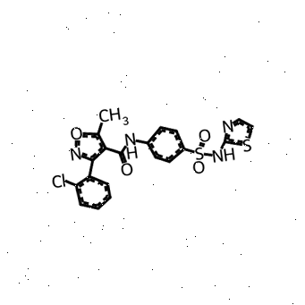 Cc1onc(-c2ccccc2Cl)c1C(=O)Nc1ccc(S(=O)(=O)Nc2nccs2)cc1